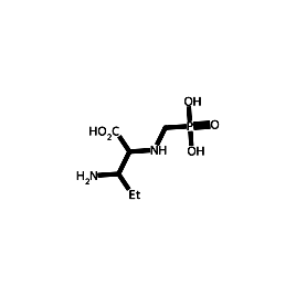 CCC(N)C(NCP(=O)(O)O)C(=O)O